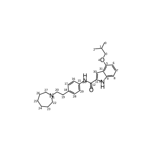 CC(C)COc1cccc2[nH]c(C(=O)Nc3ccc(CCN4CCCCCC4)cc3)cc12